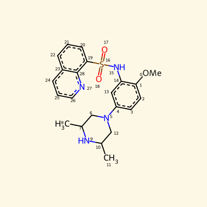 COc1ccc(N2CC(C)NC(C)C2)cc1NS(=O)(=O)c1cccc2cccnc12